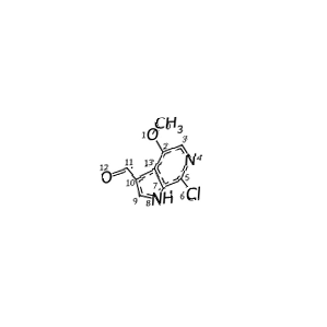 COc1cnc(Cl)c2[nH]cc([C]=O)c12